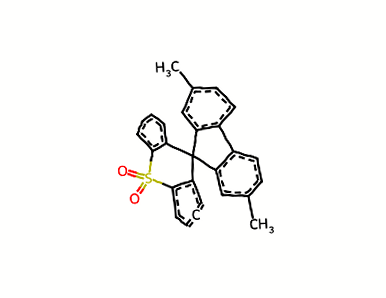 Cc1ccc2c(c1)C1(c3cc(C)ccc3-2)c2ccccc2S(=O)(=O)c2ccccc21